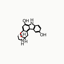 Oc1ccc2[nH]c3c(O)cc4c(c3c2c1)C[C@@H]1NCC[C@]42CCCC[C@H]12